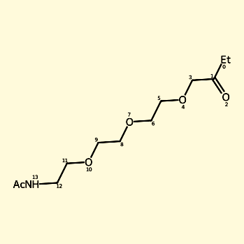 CCC(=O)COCCOCCOCCNC(C)=O